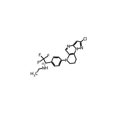 CCN[C@@H](c1ccc(N2CCCc3c2cnc2cc(Cl)nn32)cc1)C(F)(F)F